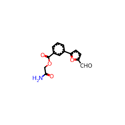 NC(=O)COC(=O)c1cccc(-c2ccc(C=O)o2)c1